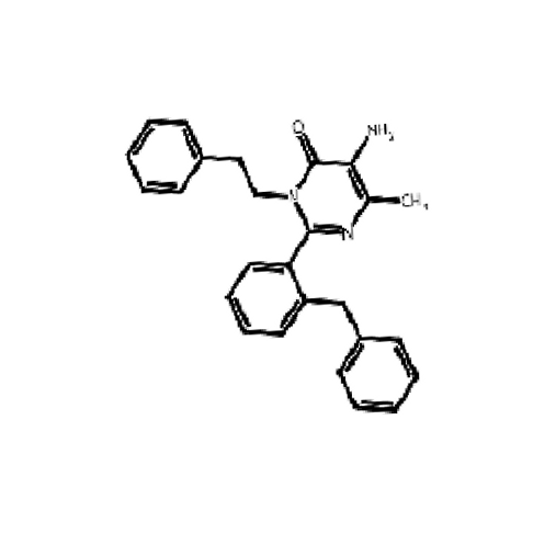 Cc1nc(-c2ccccc2Cc2ccccc2)n(CCc2ccccc2)c(=O)c1N